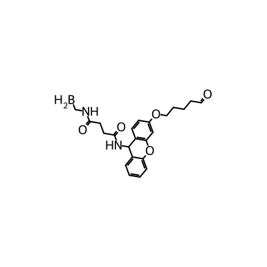 BCNC(=O)CCC(=O)NC1c2ccccc2Oc2cc(OCCCCC=O)ccc21